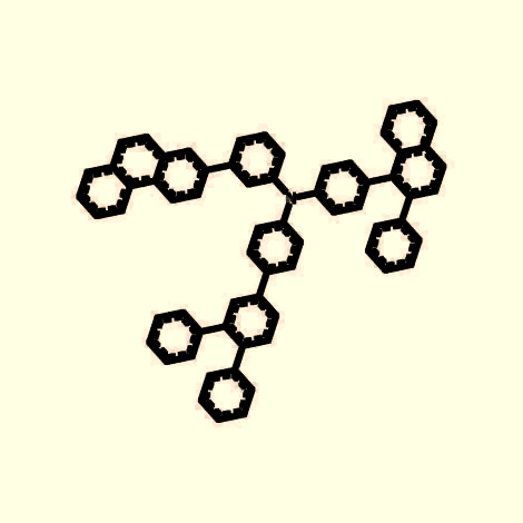 c1ccc(-c2ccc(-c3ccc(N(c4ccc(-c5c(-c6ccccc6)ccc6ccccc56)cc4)c4cccc(-c5ccc6c(ccc7ccccc76)c5)c4)cc3)cc2-c2ccccc2)cc1